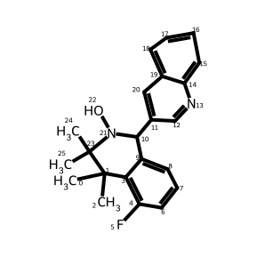 CC1(C)c2c(F)cccc2C(c2cnc3ccccc3c2)N(O)C1(C)C